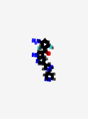 Nc1ccc(F)c(C(=O)c2c[nH]c3ncc(-c4cnn(C5CCNCC5)c4)cc23)c1F